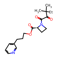 CCC(C)(C)C(=O)C(=O)N1CC[C@H]1C(=O)OCCCc1cccnc1